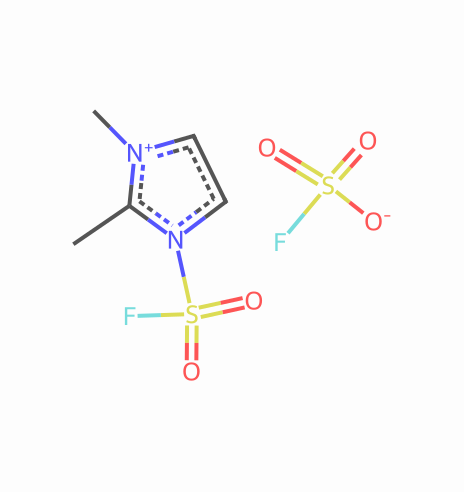 Cc1n(S(=O)(=O)F)cc[n+]1C.O=S(=O)([O-])F